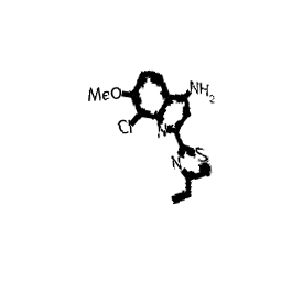 C=Cc1csc(-c2cc(N)c3ccc(OC)c(Cl)c3n2)n1